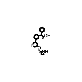 CC(O)C(c1ccccc1)c1cccc(-c2cncc(OC[C@@H]3CCN3)c2)c1